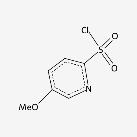 COc1ccc(S(=O)(=O)Cl)nc1